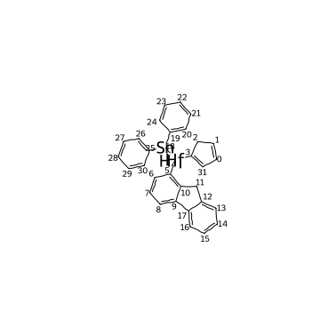 C1=CC[C]([Hf]([c]2cccc3c2Cc2ccccc2-3)[SnH]([c]2ccccc2)[c]2ccccc2)=C1